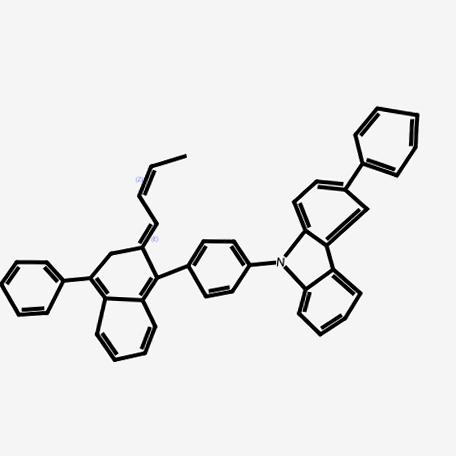 C/C=C\C=C1/CC(c2ccccc2)=c2ccccc2=C1c1ccc(-n2c3ccccc3c3cc(-c4ccccc4)ccc32)cc1